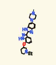 CCN1CCCC(Oc2cccc3c(-c4nc5ccc(N6CCN(C)CC6)cc5[nH]4)n[nH]c23)C1